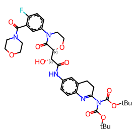 CC(C)(C)OC(=O)N(C(=O)OC(C)(C)C)C1=Nc2ccc(NC(=O)[C@H](O)[C@H]3OCCN(c4ccc(F)c(C(=O)N5CCOCC5)c4)C3=O)cc2CC1